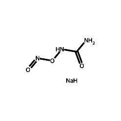 NC(=O)NON=O.[NaH]